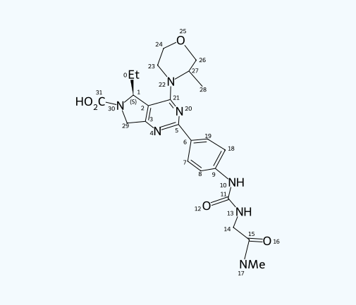 CC[C@H]1c2c(nc(-c3ccc(NC(=O)NCC(=O)NC)cc3)nc2N2CCOCC2C)CN1C(=O)O